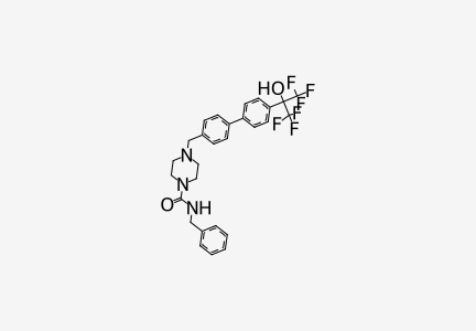 O=C(NCc1ccccc1)N1CCN(Cc2ccc(-c3ccc(C(O)(C(F)(F)F)C(F)(F)F)cc3)cc2)CC1